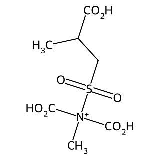 CC(CS(=O)(=O)[N+](C)(C(=O)O)C(=O)O)C(=O)O